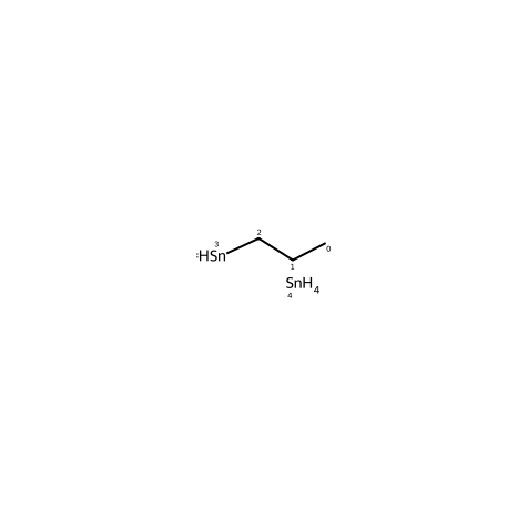 CC[CH2][SnH].[SnH4]